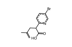 C=C(C)CC(C(=O)O)c1ccc(Br)cn1